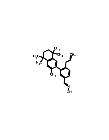 C=CCc1ccc(/C=N/O)cc1-c1cc2c(cc1C)C(C)(C)CCC2(C)C